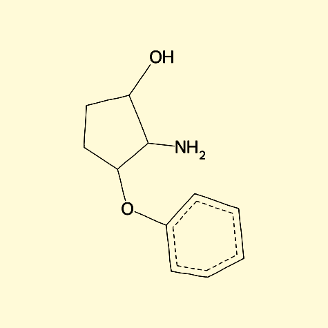 NC1C(O)CCC1Oc1ccccc1